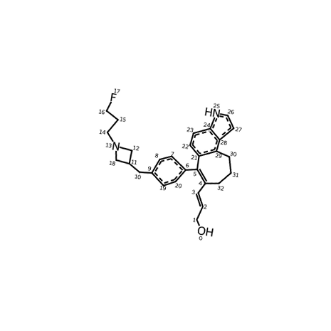 OC/C=C/C1=C(c2ccc(CC3CN(CCCF)C3)cc2)c2ccc3[nH]ccc3c2CCC1